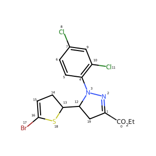 CCOC(=O)C1=NN(c2ccc(Cl)cc2Cl)C(C2CC=C(Br)S2)C1